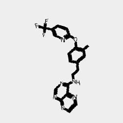 Cc1cc(CCNc2ncnc3nccnc23)ccc1Oc1ccc(C(F)(F)F)cn1